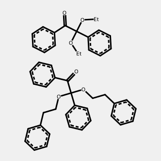 CCOC(OCC)(C(=O)c1ccccc1)c1ccccc1.O=C(c1ccccc1)C(OCCc1ccccc1)(OCCc1ccccc1)c1ccccc1